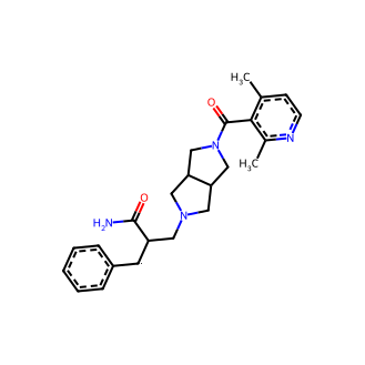 Cc1ccnc(C)c1C(=O)N1CC2CN(CC([CH]c3ccccc3)C(N)=O)CC2C1